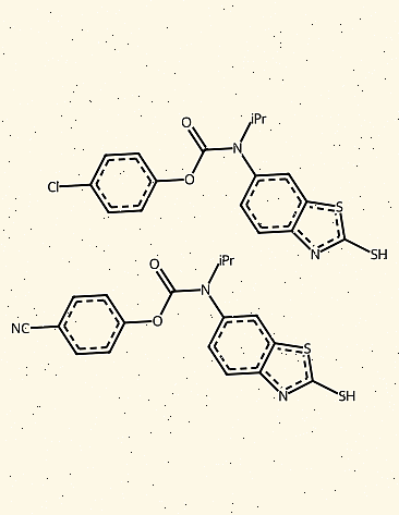 CC(C)N(C(=O)Oc1ccc(C#N)cc1)c1ccc2nc(S)sc2c1.CC(C)N(C(=O)Oc1ccc(Cl)cc1)c1ccc2nc(S)sc2c1